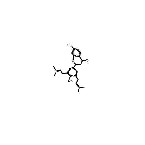 CC(C)=CCc1cc(C2CC(=O)c3ccc(O)cc3O2)cc(CC=C(C)C)c1O